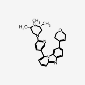 C[C@@H]1CN(c2ccc(-c3cccc4nc5ccc(C6=CCOCC6)cc5n34)cn2)C[C@H](C)N1C